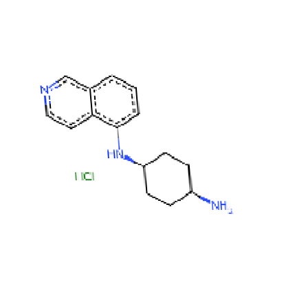 Cl.N[C@H]1CC[C@@H](Nc2cccc3cnccc23)CC1